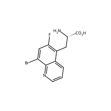 N[C@@H](Cc1c(F)cc(Br)c2ncccc12)C(=O)O